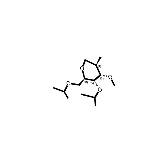 CO[C@@H]1[C@H](OC(C)C)[C@@H](COC(C)C)OC[C@H]1C